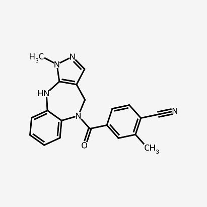 Cc1cc(C(=O)N2Cc3cnn(C)c3Nc3ccccc32)ccc1C#N